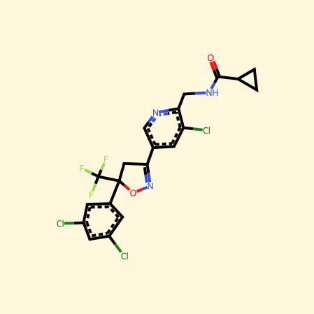 O=C(NCc1ncc(C2=NOC(c3cc(Cl)cc(Cl)c3)(C(F)(F)F)C2)cc1Cl)C1CC1